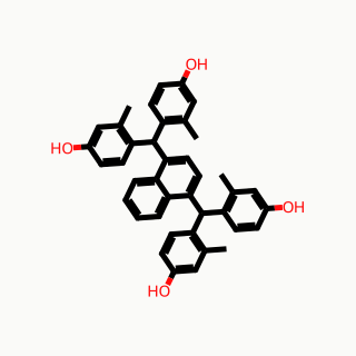 Cc1cc(O)ccc1C(c1ccc(O)cc1C)c1ccc(C(c2ccc(O)cc2C)c2ccc(O)cc2C)c2ccccc12